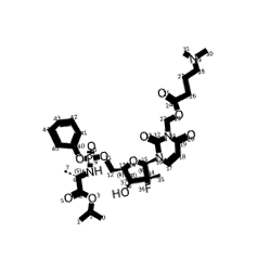 CC(C)OC(=O)[C@H](C)NP(=O)(OC[C@H]1O[C@@H](n2ccc(=O)n(COC(=O)CCCN(C)C)c2=O)[C@](C)(F)[C@@H]1O)Oc1ccccc1